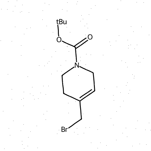 CC(C)(C)OC(=O)N1CC=C(CBr)CC1